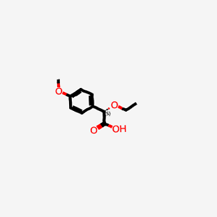 CCO[C@H](C(=O)O)c1ccc(OC)cc1